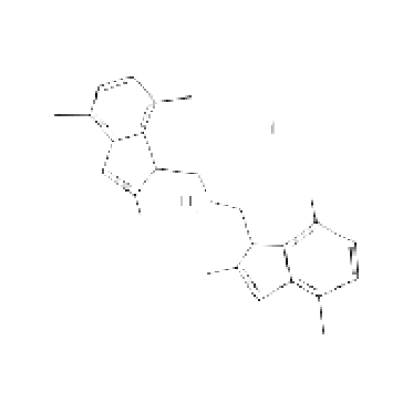 CC1=Cc2c(C)ccc(C)c2C1C[SiH2]CC1C(C)=Cc2c(C)ccc(C)c21.[LiH].[LiH]